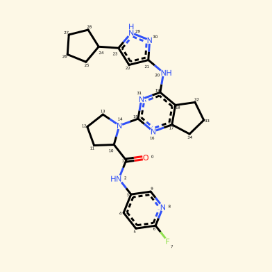 O=C(Nc1ccc(F)nc1)C1CCCN1c1nc2c(c(Nc3cc(C4CCCC4)[nH]n3)n1)CCC2